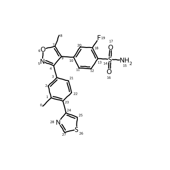 Cc1cc(-c2noc(C)c2-c2ccc(S(N)(=O)=O)c(F)c2)ccc1-c1cscn1